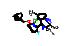 C[C@@H]1N=C(c2nc(OCc3ccccc3)ccc2F)c2c(ccc(C(F)(F)F)c2Cl)NC1C=O